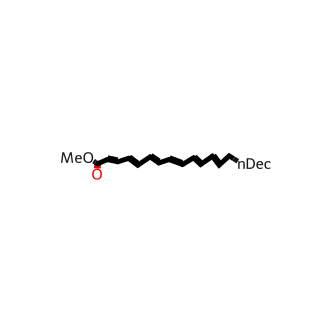 CCCCCCCCCCC/C=C/C=C/C=C/C=C/C=C/C=C/C(=O)OC